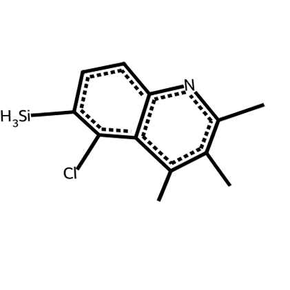 Cc1nc2ccc([SiH3])c(Cl)c2c(C)c1C